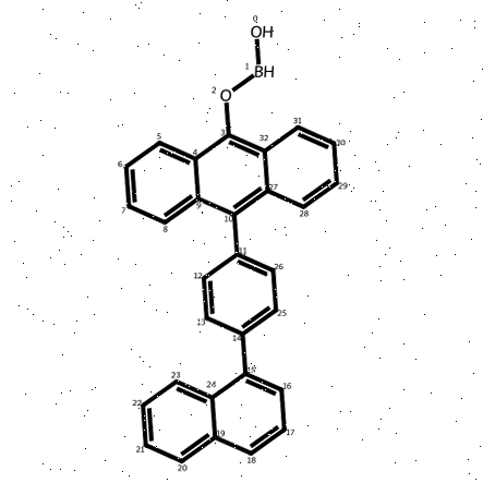 OBOc1c2ccccc2c(-c2ccc(-c3cccc4ccccc34)cc2)c2ccccc12